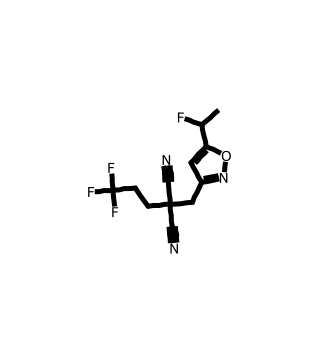 CC(F)c1cc(CC(C#N)(C#N)CCC(F)(F)F)no1